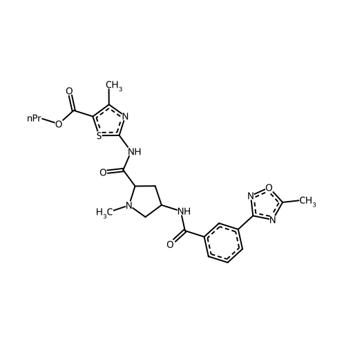 CCCOC(=O)c1sc(NC(=O)C2CC(NC(=O)c3cccc(-c4noc(C)n4)c3)CN2C)nc1C